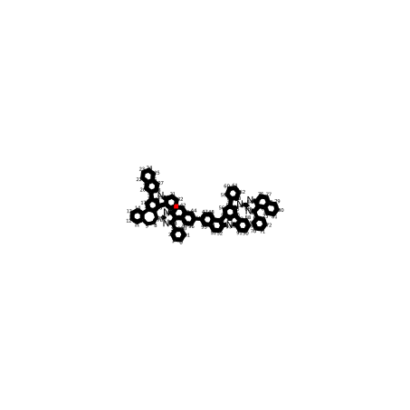 c1ccc(-c2nc([C@@H]3CCc4ccccc4-c4cc5c6cc7ccccc7cc6n6c7ccccc7c(c43)c56)nc3ccc4cc(-c5ccc6c(ccc7c6c6cc8c9ccccc9n(-c9nc(-c%10ccccc%10)c%10c(ccc%11ccccc%11%10)n9)c8c8c9ccccc9n7c68)c5)ccc4c23)cc1